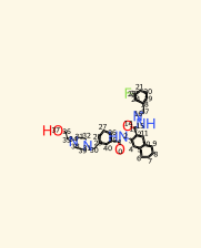 O=C(Nc1cc2ccccc2cc1C(=O)N/N=C/c1cccc(F)c1)c1cccc(CN2CCN(CCO)CC2)c1